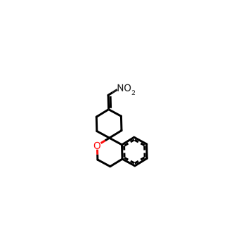 O=[N+]([O-])C=C1CCC2(CC1)OCCc1ccccc12